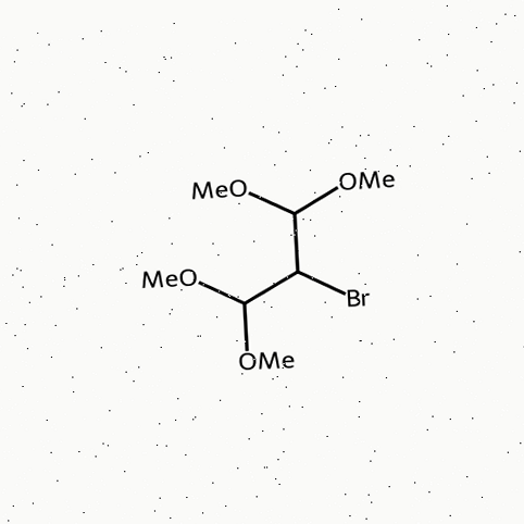 COC(OC)C(Br)C(OC)OC